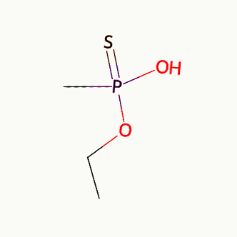 CCOP(C)(O)=S